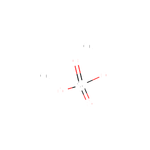 O=[Se](=O)([O-])[O-].[Cu+].[Cu+]